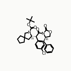 CC(C)(C)OC(=O)N1CC2(CCCC2)C[C@H]1C(C(=O)N1C(=O)OC[C@H]1Cc1ccccc1)c1ccc(Cl)cc1